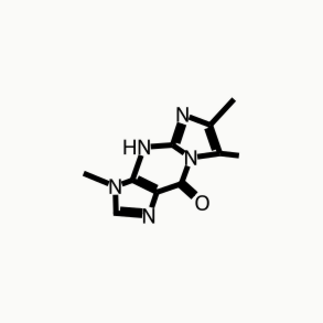 Cc1nc2[nH]c3c(ncn3C)c(=O)n2c1C